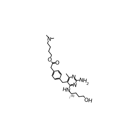 Cc1nc(N)nc(N[C@@H](C)CCCO)c1Cc1ccc(CC(=O)OCCCCN(C)C)cc1